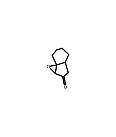 O=C1CC2CCCCC23OC13